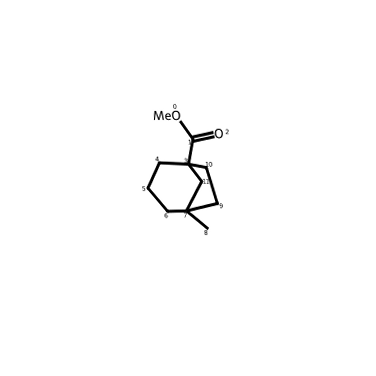 COC(=O)C12CCCC(C)(CC1)C2